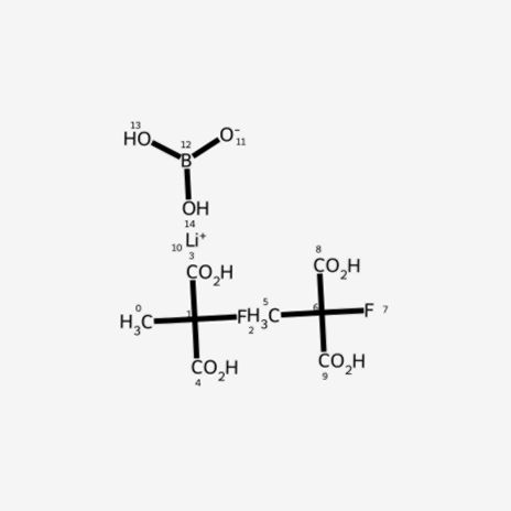 CC(F)(C(=O)O)C(=O)O.CC(F)(C(=O)O)C(=O)O.[Li+].[O-]B(O)O